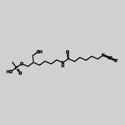 CP(=O)(O)OCC(CO)CCCCNC(=O)CCCCCN=[N+]=[N-]